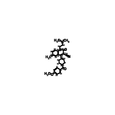 COc1ccc(C(=O)N2CCN(c3c(C#N)c(=O)n(CCN(C)C)c4ccc(C)cc34)CC2)cc1